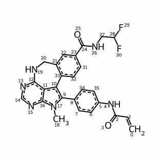 C=CC(=O)Nc1ccc(-c2c3c4c(ncnc4n2C)NCc2cc(C(=O)NCC(F)F)ccc2-3)cc1